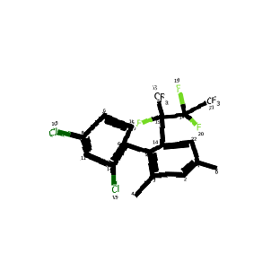 Cc1[c]c(C)c(-c2ccc(Cl)cc2Cl)c(C(F)(C(F)(F)F)C(F)(F)C(F)(F)F)c1